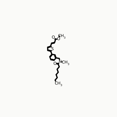 CCCCCCCC(=O)N(C)Cc1cccc(-c2ccc(C=CC(=O)OC)s2)c1